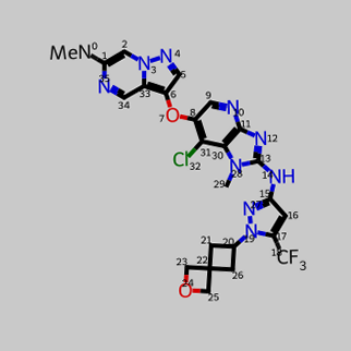 CNc1cn2ncc(Oc3cnc4nc(Nc5cc(C(F)(F)F)n(C6CC7(COC7)C6)n5)n(C)c4c3Cl)c2cn1